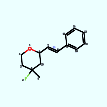 CC1(F)CCOC(/C=C/c2ccccc2)C1